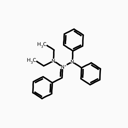 CCN(CC)[N+](=Cc1ccccc1)N(c1ccccc1)c1ccccc1